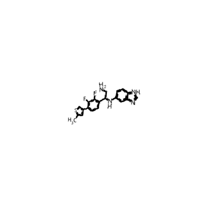 Cc1cc(-c2ccc(C(CN)Nc3ccc4[nH]cnc4c3)c(F)c2F)cs1